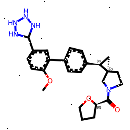 COc1ccc(C2NNNN2)cc1-c1ccc([C@H]2C[C@@]23CCN(C(=O)[C@H]2CCCO2)C3)cc1